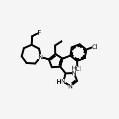 CCC1=C(N2CCCCC(CF)C2)CC(C2NC=NN2)=C1c1ccc(Cl)cc1Cl